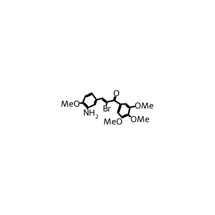 COc1ccc(C=C(Br)C(=O)c2cc(OC)c(OC)c(OC)c2)cc1N